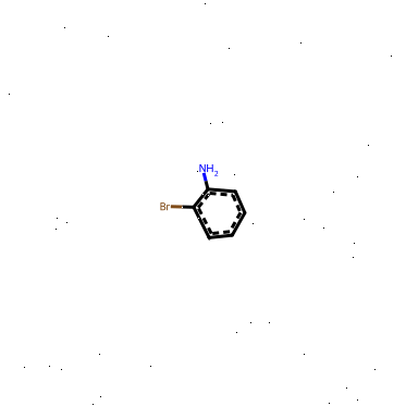 Nc1ccc[c]c1Br